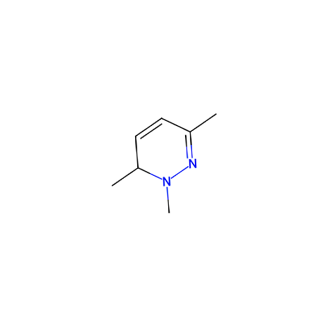 CC1=NN(C)C(C)C=C1